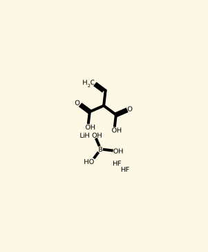 C=CC(C(=O)O)C(=O)O.F.F.OB(O)O.[LiH]